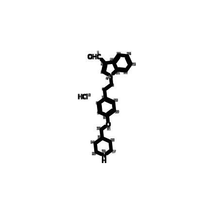 Cl.O=Cc1cn(CCc2ccc(OCC3CCNCC3)cc2)c2ccccc12